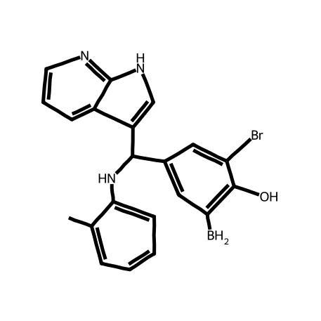 Bc1cc(C(Nc2ccccc2C)c2c[nH]c3ncccc23)cc(Br)c1O